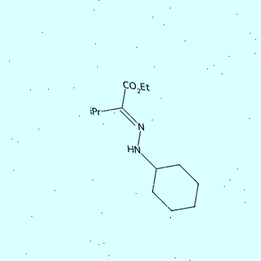 CCOC(=O)C(=NNC1CCCCC1)C(C)C